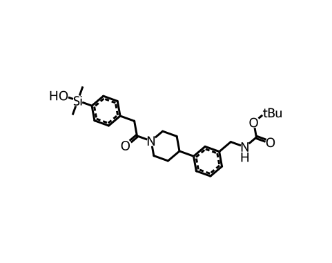 CC(C)(C)OC(=O)NCc1cccc(C2CCN(C(=O)Cc3ccc([Si](C)(C)O)cc3)CC2)c1